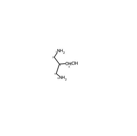 Cl.NCC(O)CN